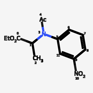 CCOC(=O)C(C)N(C(C)=O)c1cccc([N+](=O)[O-])c1